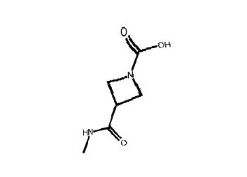 CNC(=O)C1CN(C(=O)O)C1